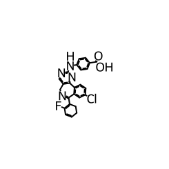 O=C(O)c1ccc(Nc2ncc3c(n2)-c2ccc(Cl)cc2C(C2=C(F)C=CCC2)=NC3)cc1